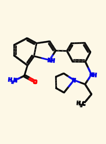 CCC(Nc1cccc(-c2cc3cccc(C(N)=O)c3[nH]2)c1)N1CCCC1